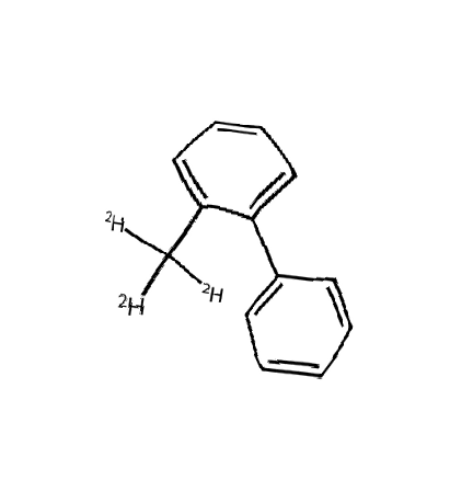 [2H]C([2H])([2H])c1ccccc1-c1ccccc1